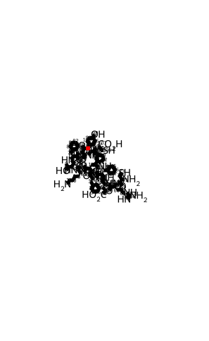 CC(O)[C@H](NC(=O)[C@H](CCCCN)NC(=O)[C@@H](Cc1c[nH]c2ccccc12)NC(=O)[C@H](Cc1ccccc1)NC(=O)[C@H](Cc1ccccc1)NC(=O)[C@H](CCC(=O)O)NC(=O)[C@H](CCCNC(=N)N)NC(=O)[C@@H](N)CS)C(=O)N[C@@H](Cc1ccccc1)C(=O)N[C@H](C(=O)N[C@H](Cc1ccc(O)cc1)C(=O)N[C@@H](CS)C(=O)O)C(C)O